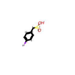 O=S(O)Cc1ccc(I)cc1